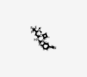 CN(C)C(CC(=O)NC1=NC2CC=C(C#N)C=C2N1C1CCC1)C(F)(F)F